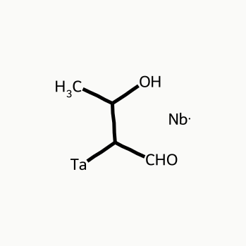 CC(O)[CH]([Ta])C=O.[Nb]